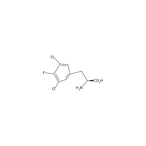 N[C@@H](Cc1cc(Cl)c(F)c(Cl)c1)C(=O)O